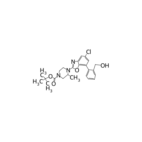 CC1CN(C(=O)OC(C)(C)C)CCN1c1nc2cc(Cl)cc(-c3ccccc3CO)c2o1